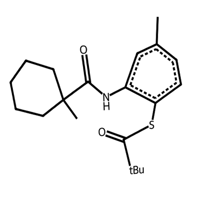 Cc1ccc(SC(=O)C(C)(C)C)c(NC(=O)C2(C)CCCCC2)c1